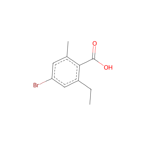 CCc1cc(Br)cc(C)c1C(=O)O